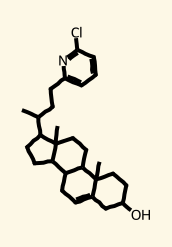 CC(CCc1cccc(Cl)n1)C1CCC2C3CC=C4CC(O)CCC4(C)C3CCC12C